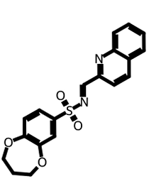 O=S(=O)(/N=C/c1ccc2ccccc2n1)c1ccc2c(c1)OCCCO2